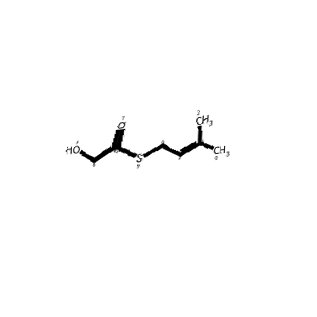 CC(C)=CCSC(=O)CO